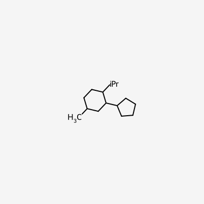 CC1CCC(C(C)C)C(C2CCCC2)C1